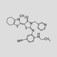 CCNc1ccc(C#N)cc1N=C1SC(=C2SC3=C(CCCC3)N2C)C(=O)N1Cc1cccnc1